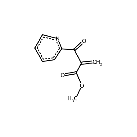 C=C(C(=O)OC)C(=O)c1ccccn1